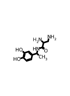 CC(NC(=O)C(N)CN)c1ccc(O)c(O)c1